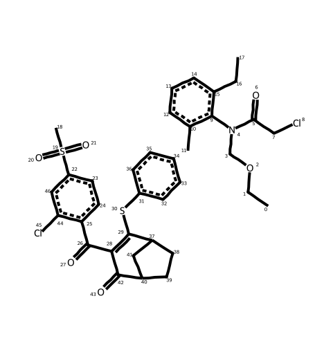 CCOCN(C(=O)CCl)c1c(C)cccc1CC.CS(=O)(=O)c1ccc(C(=O)C2=C(Sc3ccccc3)C3CCC(C3)C2=O)c(Cl)c1